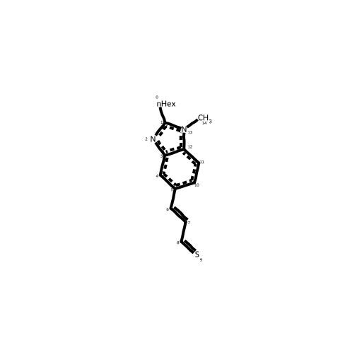 CCCCCCc1nc2cc(/C=C/C=S)ccc2n1C